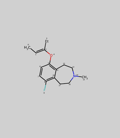 CC=C(CC)Oc1ccc(F)c2c1CCN(C)CC2